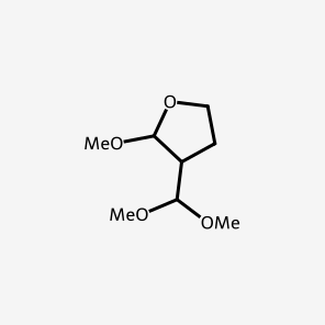 COC(OC)C1CCOC1OC